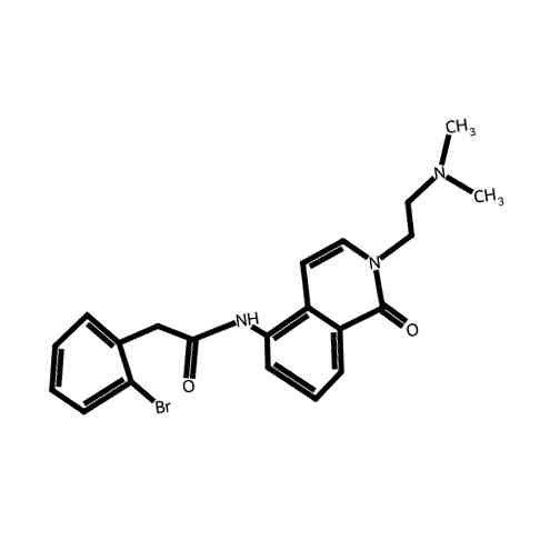 CN(C)CCn1ccc2c(NC(=O)Cc3ccccc3Br)cccc2c1=O